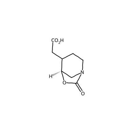 O=C(O)CC1CCN2C[C@H]1OC2=O